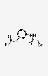 CCC(=O)Oc1cccc(NC(=O)CBr)c1